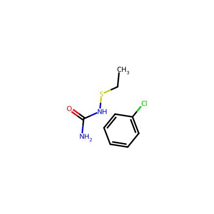 CCSNC(N)=O.Clc1ccccc1